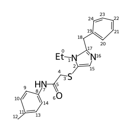 CCn1c(SCC(=O)Nc2ccc(C)cc2)cnc1Cc1ccccc1